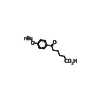 CCCCOc1ccc(C(=O)CCCCC(=O)O)cc1